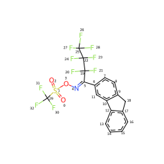 O=S(=O)(ON=C(c1ccc2c(c1)-c1ccccc1C2)C(F)(F)C(F)(F)C(F)(F)F)C(F)(F)F